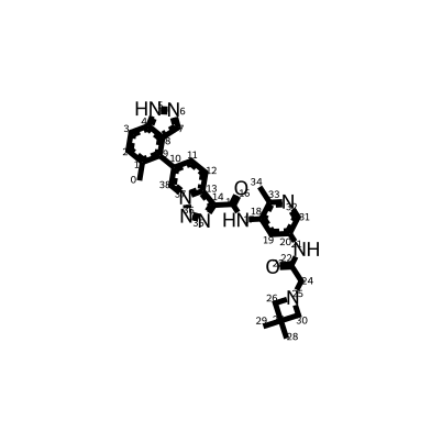 Cc1ccc2[nH]ncc2c1-c1ccc2c(C(=O)Nc3cc(NC(=O)CN4CC(C)(C)C4)cnc3C)nnn2c1